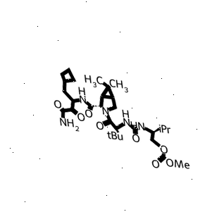 COC(=O)OC[C@@H](NC(=O)N[C@H](C(=O)N1CC2C([C@H]1C(=O)NC(CC1CCC1)C(=O)C(N)=O)C2(C)C)C(C)(C)C)C(C)C